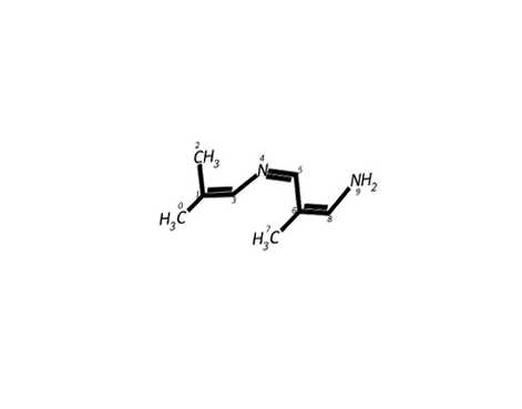 CC(C)=C/N=C\C(C)=C/N